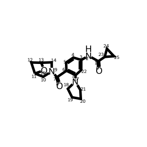 O=C(Nc1ccc(C(=O)N2CC3CC(C2)O3)c(N2CCCC2)c1)C1CC1